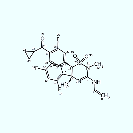 C=CNC1=N[C@](C)(c2ccc(F)cc2F)[C@@H](c2ccc(C(=O)C3CC3)c(F)c2)S(=O)(=O)N1C